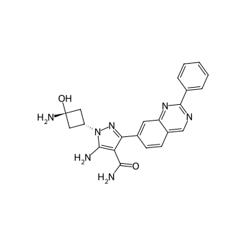 NC(=O)c1c(-c2ccc3cnc(-c4ccccc4)nc3c2)nn([C@H]2C[C@@](N)(O)C2)c1N